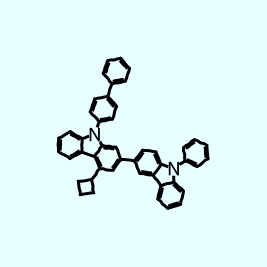 c1ccc(-c2ccc(-n3c4ccccc4c4c(C5CCC5)cc(-c5ccc6c(c5)c5ccccc5n6-c5ccccc5)cc43)cc2)cc1